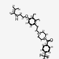 Cc1c(CCN2CCN(C(=O)c3ccc(C(F)(F)F)cc3)CC2)ccc(OCCNC(C)C(C)C)c1C